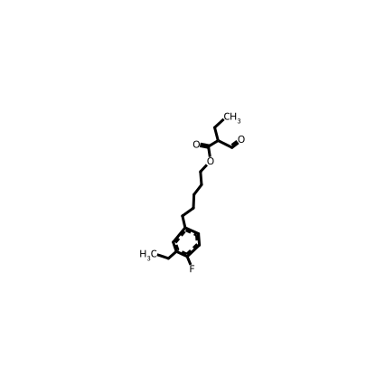 CCc1cc(CCCCCOC(=O)C(C=O)CC)ccc1F